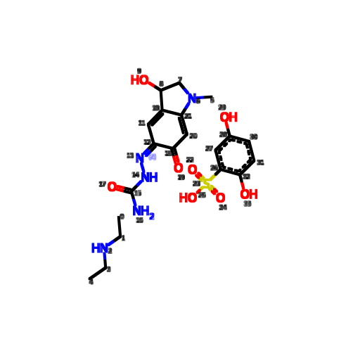 CCNCC.CN1CC(O)C2=C/C(=N/NC(N)=O)C(=O)C=C21.O=S(=O)(O)c1cc(O)ccc1O